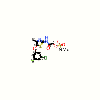 CNS(=O)(=O)OCC(=O)Nc1nc(C)c(Oc2cc(F)cc(Cl)c2)s1